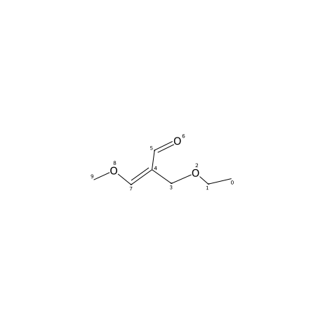 CCOC/C(C=O)=C/OC